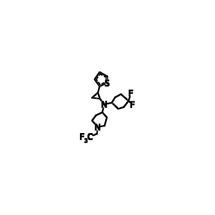 FC(F)(F)CN1CCC(N(C2CCC(F)(F)CC2)C2CC2c2cccs2)CC1